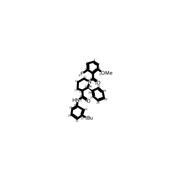 COc1cccc(F)c1C(=O)N1CCCC(C(=O)Nc2cccc(C(C)(C)C)c2)[C@@H]1c1ccccc1